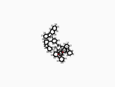 c1ccc(-n2c3ccccc3c3cccc(-c4nc(-c5ccc(-n6c7ccccc7c7cc8ccccc8cc76)c(-c6cccc7sc8ccccc8c67)c5)nc(-c5cccc6c7ccccc7n(-c7ccccc7)c56)n4)c32)cc1